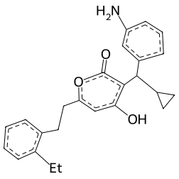 CCc1ccccc1CCc1cc(O)c(C(c2cccc(N)c2)C2CC2)c(=O)o1